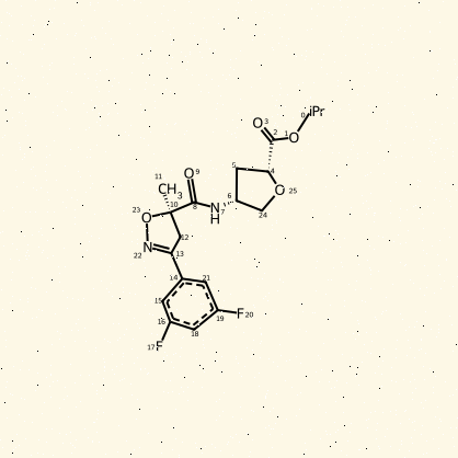 CC(C)OC(=O)[C@H]1C[C@@H](NC(=O)[C@@]2(C)CC(c3cc(F)cc(F)c3)=NO2)CO1